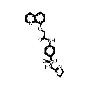 O=C(COc1cccc2cccnc12)Nc1ccc(S(=O)(=O)NC2=NCCS2)cc1